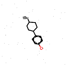 CC(C)(C)C1CCC(c2ccc([O])cc2)CC1